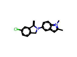 C=C1c2cc(Cl)ccc2CN1c1ccc2c(c1)cc(C)n2C